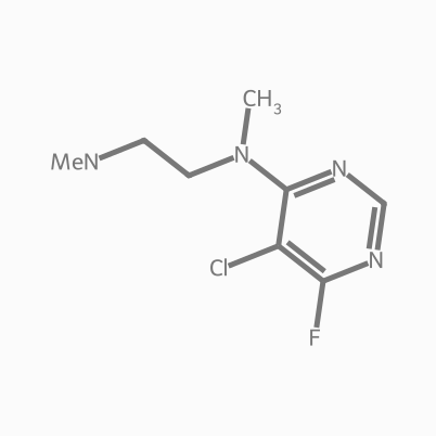 CNCCN(C)c1ncnc(F)c1Cl